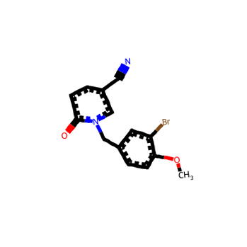 COc1ccc(Cn2cc(C#N)ccc2=O)cc1Br